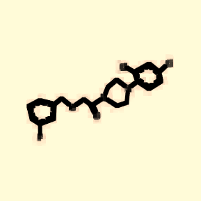 O=C(COCc1cccc(F)c1)N1CCN(c2ccc(Cl)cc2Cl)CC1